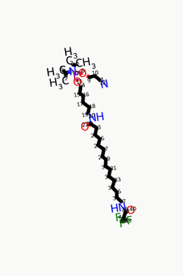 CC(C)N(C(C)C)P(OCCC#N)OCCCCCCNC(=O)CCCCCCCCCCCCCCCNC(=O)C(F)(F)F